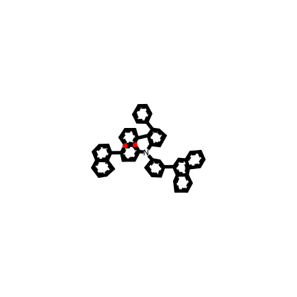 c1ccc(-c2cccc(N(c3ccc(-c4cccc5ccccc45)cc3)c3cccc(-c4cc5ccccc5c5ccccc45)c3)c2-c2ccccc2)cc1